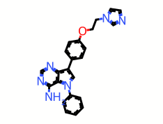 Nc1ncnc2c(-c3ccc(OCCn4ccnc4)cc3)cn(-c3ccccc3)c12